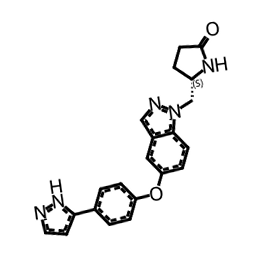 O=C1CC[C@@H](Cn2ncc3cc(Oc4ccc(-c5ccn[nH]5)cc4)ccc32)N1